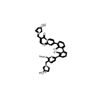 COc1nc(-c2cccc(-c3cccc(-c4ccn5c(=O)c(CN6CC[C@H](O)C6)cnc5c4)c3Cl)c2Cl)ccc1CN1CC[C@@H](O)C1